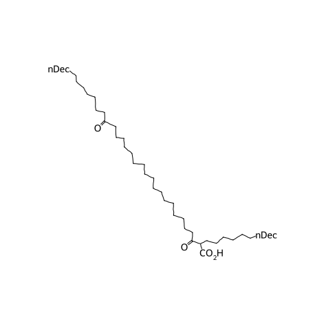 CCCCCCCCCCCCCCCCCC(=O)CCCCCCCCCCCCCCCCCC(=O)C(CCCCCCCCCCCCCCCC)C(=O)O